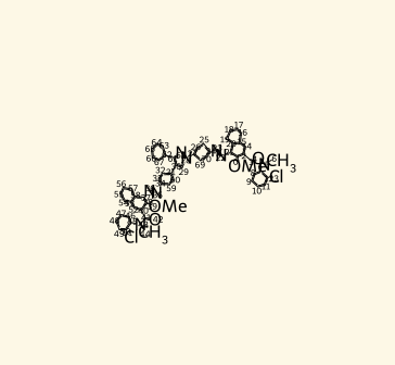 COc1c(CON(C)c2ccccc2Cl)cc2ccccc2c1N=Nc1ccc(-n2cc(-c3ccc(N=Nc4c(OC)c(C(=O)N(C)c5ccccc5Cl)cc5ccccc45)cc3)c(-c3ccccc3)n2)cc1